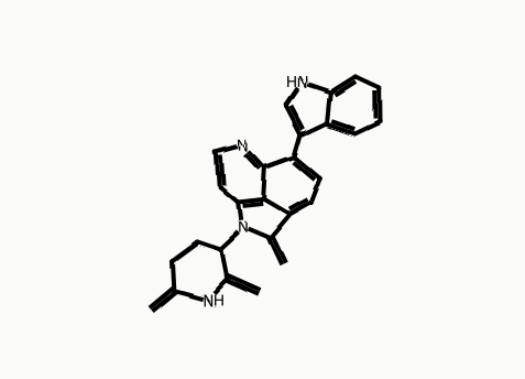 C=C1CCC(n2c(=C)c3ccc(-c4c[nH]c5ccccc45)c4nccc2c43)C(=C)N1